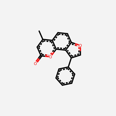 Cc1cc(=O)oc2c1ccc1occ(-c3ccccc3)c12